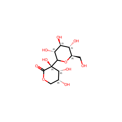 O=C1OC[C@@H](O)[C@@H](O)[C@@]1(O)C1O[C@H](CO)[C@@H](O)[C@H](O)[C@H]1O